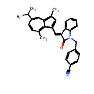 Cc1cc(/C=C2/C(=O)N(Cc3ccc(C#N)cc3)c3ccccc32)c2c(C)ccc(C(C)C)cc1-2